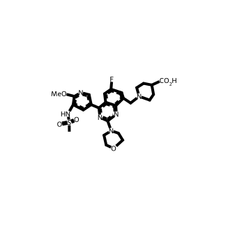 COc1ncc(-c2nc(N3CCOCC3)nc3c(CN4CCC(C(=O)O)CC4)cc(F)cc23)cc1NS(C)(=O)=O